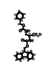 O=C(NC[C@H](NC(=O)OCC1c2ccccc2-c2ccccc21)C(=O)O)OCc1ccccc1